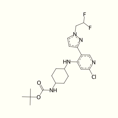 CC(C)(C)OC(=O)NC1CCC(Nc2cc(Cl)ncc2-c2ccn(CC(F)F)n2)CC1